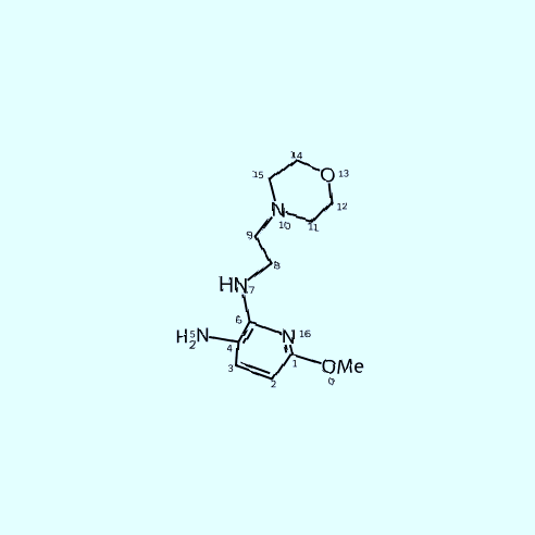 COc1ccc(N)c(NCCN2CCOCC2)n1